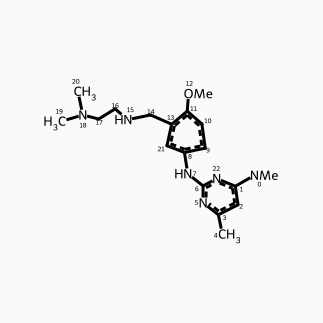 CNc1cc(C)nc(Nc2ccc(OC)c(CNCCN(C)C)c2)n1